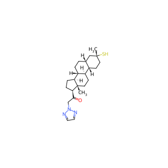 C[C@@]1(S)CC[C@H]2[C@H](CC[C@@H]3[C@@H]2CC[C@]2(C)[C@@H](C(=O)Cn4nccn4)CC[C@@H]32)C1